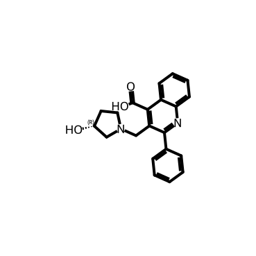 O=C(O)c1c(CN2CC[C@@H](O)C2)c(-c2ccccc2)nc2ccccc12